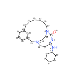 O=C1/N=C(/NC2CCCCC2)CCN2CCN1CCCCCCc1cccc(c1)C2